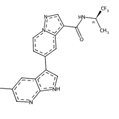 C[C@@H](NC(=O)c1cnn2ccc(-c3c[nH]c4ncc(F)cc34)cc12)C(F)(F)F